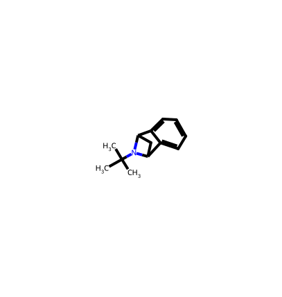 CC(C)(C)N1C2CC1c1ccccc12